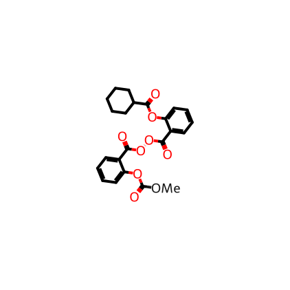 COC(=O)Oc1ccccc1C(=O)OOC(=O)c1ccccc1OC(=O)C1CCCCC1